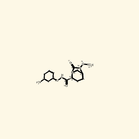 NC1CCCC(ONC(=O)[C@@H]2CCC3CN2C(=O)N3OS(=O)(=O)O)C1